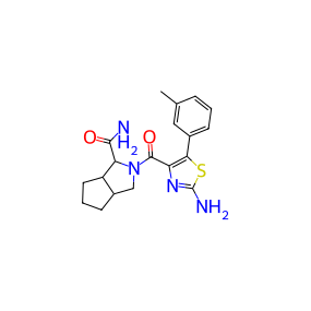 Cc1cccc(-c2sc(N)nc2C(=O)N2CC3CCCC3C2C(N)=O)c1